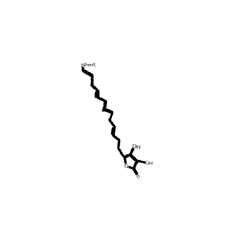 CCCCCC=CCC=CCC=CCC=CCCC1OC(=O)C(O)=C1O